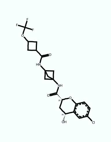 O=C(NC12CC(NC(=O)[C@H]3C[C@@H](O)c4cc(Cl)ccc4O3)(C1)C2)C1CC(OC(F)(F)F)C1